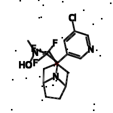 C[N+](O)=CC1(c2cncc(Cl)c2)CC2CCC(C1)N2CC(F)(F)F